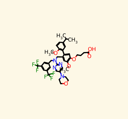 COc1cc(CN(Cc2cc(C(F)(F)F)cc(C(F)(F)F)c2)c2ncc(N3CCOCC3)cn2)c(-c2cc(C(C)C)ccc2OC)cc1OCCCC(=O)O